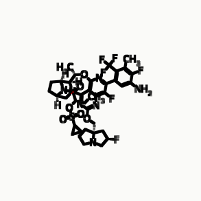 CC[C@@H](OS(=O)(=O)C1CC1)C(=O)N1[C@@H]2CC[C@H]1[C@H]1[C@H](C)Oc3nc(-c4cc(N)c(F)c(C)c4C(F)(F)F)c(F)c4nc(OC[C@@]56CCCN5C[C@H](F)C6)nc(c34)N1C2